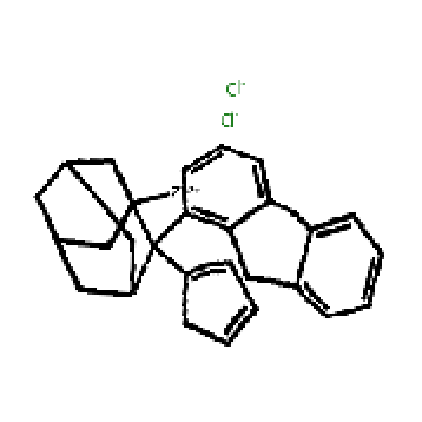 [Cl-].[Cl-].[Zr+2][C]12CC3CC(CC(C3)C1(C1=CC=CC1)c1cccc3c1Cc1ccccc1-3)C2